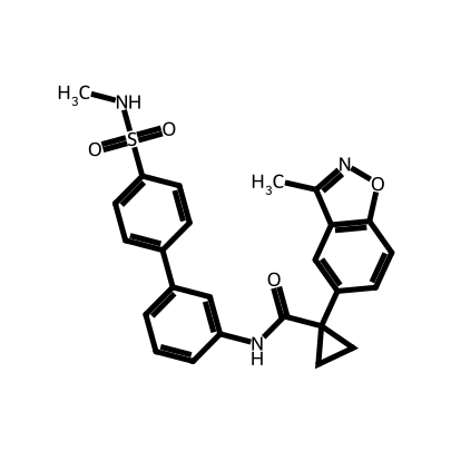 CNS(=O)(=O)c1ccc(-c2cccc(NC(=O)C3(c4ccc5onc(C)c5c4)CC3)c2)cc1